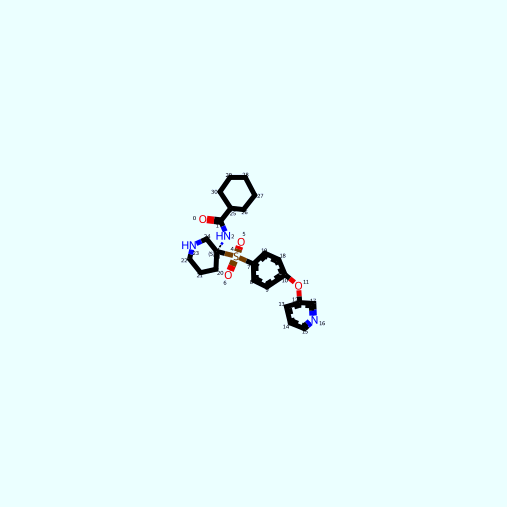 O=C(N[C@]1(S(=O)(=O)c2ccc(Oc3cccnc3)cc2)CCCNC1)C1CCCCC1